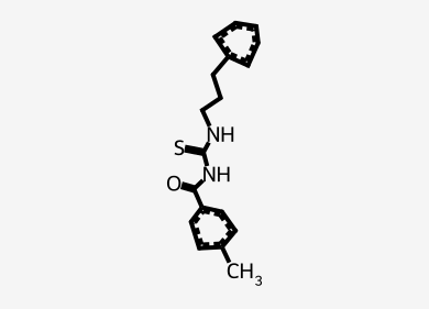 Cc1ccc(C(=O)NC(=S)NCCCc2ccccc2)cc1